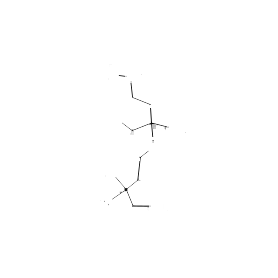 CCC(C)(N)CCOC(C)(CC)CCOC